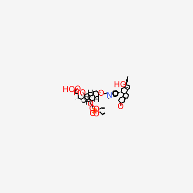 C=CCOP(=O)(OCC=C)OCO[C@@H]1C[C@@H]2C[C@@H](OCCN(C)c3ccc([C@H]4C[C@@]5(C)C(CC[C@@]5(O)C#CC)C5CCC6=CC(=O)CCC6=C54)cc3)CC[C@]2(C)[C@H]2C[C@H](O)[C@]3(C)[C@@H]([C@H](C)CCC(=O)O)CC[C@H]3[C@H]12